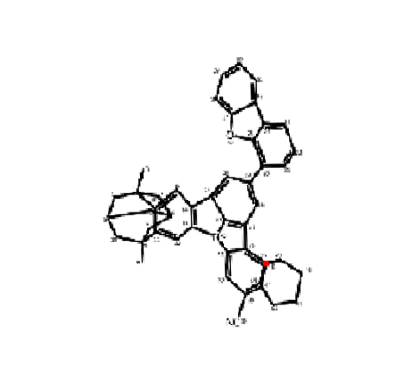 CC12CC3CC(C1)CC(C)(C3)c1cc3c(cc12)c1cc(-c2cccc4c2oc2ccccc24)cc2c4c5c(c(C#N)cc4n3c12)C1CCC5CC1